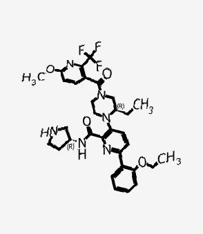 CCOc1ccccc1-c1ccc(N2CCN(C(=O)c3ccc(OC)nc3C(F)(F)F)C[C@H]2CC)c(C(=O)N[C@@H]2CCNC2)n1